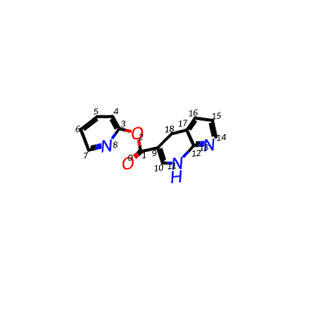 O=C(Oc1ccccn1)C1=CNc2ncccc2C1